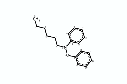 CCCCCCN(Oc1ccccc1)c1ccccc1